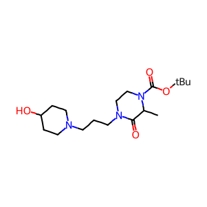 CC1C(=O)N(CCCN2CCC(O)CC2)CCN1C(=O)OC(C)(C)C